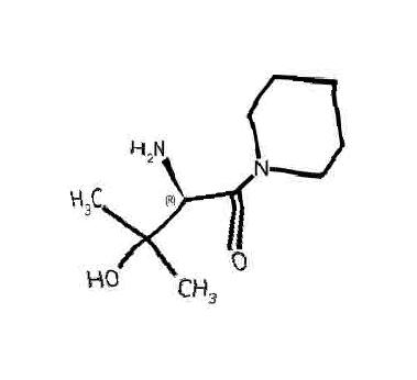 CC(C)(O)[C@@H](N)C(=O)N1CCCCC1